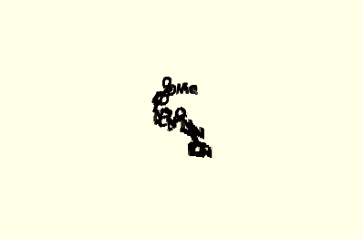 COC(=O)c1ccc(CN2CCC(N(C)C(=O)n3cnc(-c4cccnc4)c3)CC2)o1